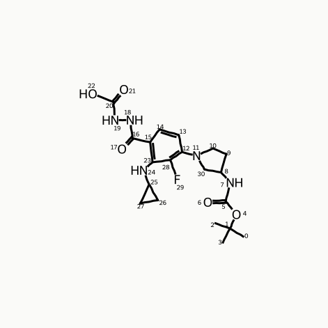 CC(C)(C)OC(=O)NC1CCN(c2ccc(C(=O)NNC(=O)O)c(NC3CC3)c2F)C1